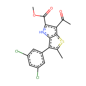 COC(=O)c1[nH]c2c(-c3cc(Cl)cc(Cl)c3)c(C)sc2c1C(C)=O